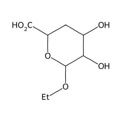 CCOC1OC(C(=O)O)CC(O)C1O